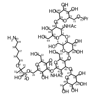 CC(=O)NC1C(OC2C(CO)OC(OC3C(CO)OC(OC4C(O)C(CO)OC(COP(=O)(O)C(C)(C)OCCCCCN)C4O)C(NC(C)=O)C3OC3OC(CO)C(O)C(O)C3O)C(O)C2O)OC(CO)C(O)C1OC1OC(COC(C)C)C(O)C(O)C1O